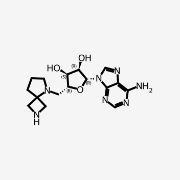 Nc1ncnc2c1ncn2[C@@H]1O[C@H](CN2CCCC23CNC3)[C@@H](O)[C@H]1O